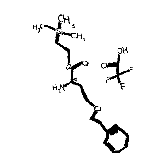 C[Si](C)(C)CCOC(=O)[C@H](N)CCOCc1ccccc1.O=C(O)C(F)(F)F